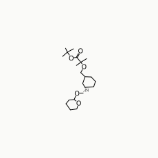 CC(C)(C)OC(=O)C(C)(C)OCC1CCC[C@H](COC2CCCCO2)C1